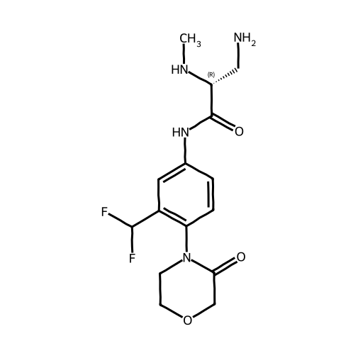 CN[C@H](CN)C(=O)Nc1ccc(N2CCOCC2=O)c(C(F)F)c1